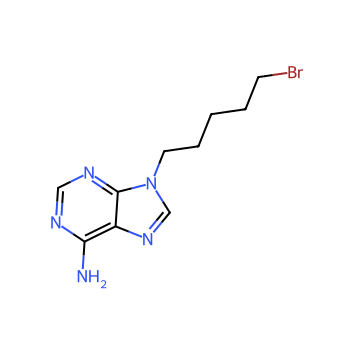 Nc1ncnc2c1ncn2CCCCCBr